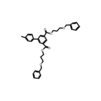 Cc1ccc(-c2cc(C(=O)OCCCOCc3ccccc3)cc(C(=O)OCCCOCc3ccccc3)c2)cc1